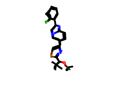 C[SiH](C)OC(c1nc(-c2ccc3nc(-c4ccccc4F)cn3c2)cs1)C(C)(C)C